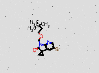 C[Si](C)(C)CCOCN1C(=O)C2(CC2)c2cc(Br)cnc21